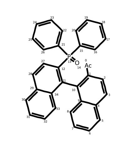 CC(=O)c1ccc2ccccc2c1-c1c(P(=O)(c2ccccc2)c2ccccc2)ccc2ccccc12